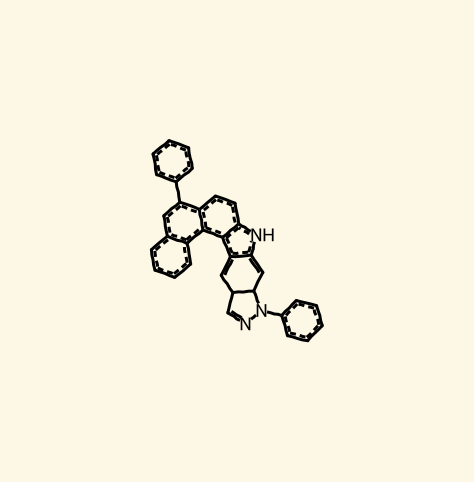 C1=NN(c2ccccc2)C2C=c3[nH]c4ccc5c(-c6ccccc6)cc6ccccc6c5c4c3=CC12